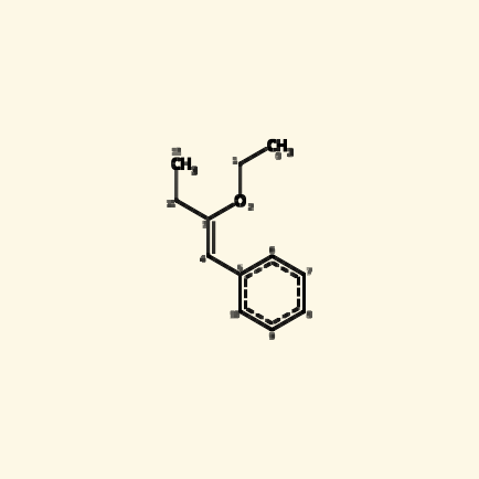 CCOC(=Cc1ccccc1)CC